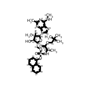 CNc1nc(C)nc2c1ncn2[C@@H]1O[C@H](COP(=O)(N[C@H](C)C(=O)OCC(C)(C)C)Oc2cccc3ccccc23)[C@@H](O)[C@@]1(C)F